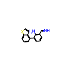 N=Cc1cccc(-c2cccc3sccc23)c1N